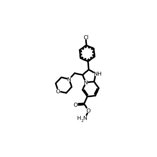 NOC(=O)C1=CN2C(C=C1)NC(c1ccc(Cl)cc1)C2CN1CCOCC1